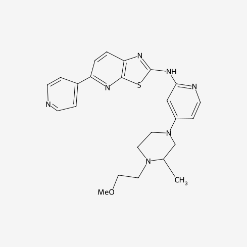 COCCN1CCN(c2ccnc(Nc3nc4ccc(-c5ccncc5)nc4s3)c2)CC1C